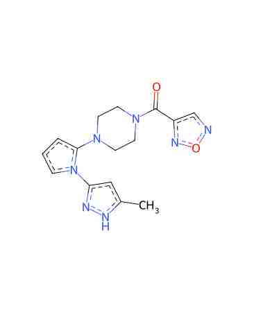 Cc1cc(-n2cccc2N2CCN(C(=O)c3cnon3)CC2)n[nH]1